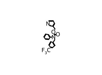 O=C(OCc1cccnc1)N(Cc1ccc(C(F)(F)F)cc1)c1ccccc1